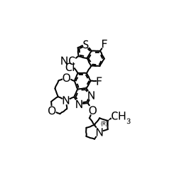 C[C@H]1CN2CCCC2(COc2nc3c4c(c(Cl)c(-c5ccc(F)c6scc(C#N)c56)c(F)c4n2)OCCC2COCCN32)C1